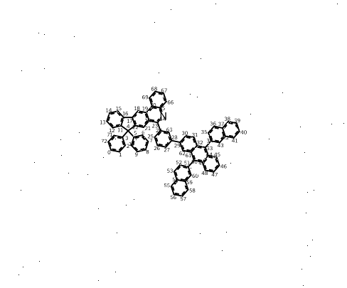 c1ccc(C2(c3ccccc3)c3ccccc3-c3cc4c(cc32)c(-c2cccc(-c3ccc5c(-c6ccc7ccccc7c6)c6ccccc6c(-c6ccc7ccccc7c6)c5c3)c2)nc2ccccc24)cc1